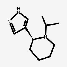 CC(C)N1CCCC[C@H]1c1cn[nH]c1